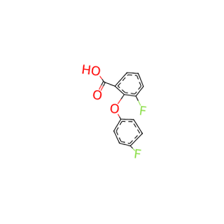 O=C(O)c1cccc(F)c1Oc1ccc(F)cc1